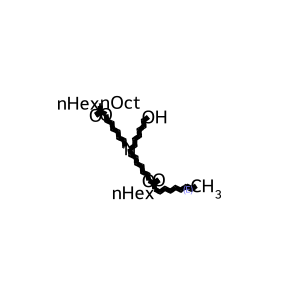 C/C=C/CCCCCC(CCCCCC)C(=O)OCCCCCCN(CCCCCCO)CCCCCCCOC(=O)C(CCCCCC)CCCCCCCC